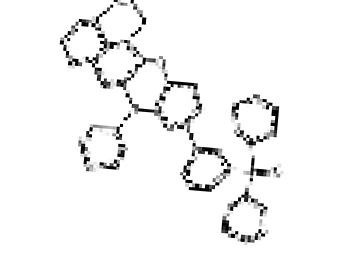 O=P(c1ccccc1)(c1ccccc1)c1cccc(-c2ccc3c(c2)N(c2cccnc2)c2cc4cccc5c4c(c2O3)CC=C5)c1